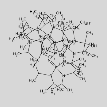 CC(C)N(C(C)C)P(=N[P+](N=P(N(C(C)C)C(C)C)(N(C(C)C)C(C)C)N(C(C)C)C(C)C)(N=P(N(C(C)C)C(C)C)(N(C(C)C)C(C)C)N(C(C)C)C(C)C)N=P(N(C(C)C)C(C)C)(N(C(C)C)C(C)C)N(C(C)C)C(C)(C)O)(N(C(C)C)C(C)C)N(C(C)C)C(C)C.[OH-]